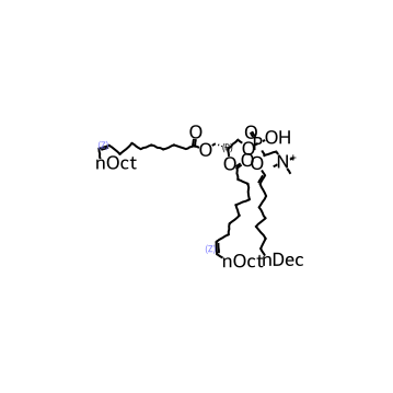 CCCCCCCC/C=C\CCCCCCCC(=O)OC[C@H](COP(=O)(O)C(C[N+](C)(C)C)OC=CCCCCCCCCCCCCCCCC)OC(=O)CCCCCCC/C=C\CCCCCCCC